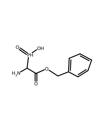 NC(C(=O)OCc1ccccc1)[PH](=O)O